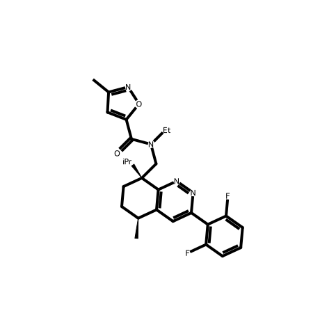 CCN(C[C@@]1(C(C)C)CC[C@H](C)c2cc(-c3c(F)cccc3F)nnc21)C(=O)c1cc(C)no1